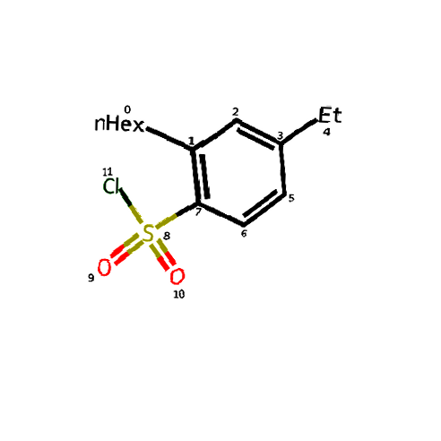 CCCCCCc1cc(CC)ccc1S(=O)(=O)Cl